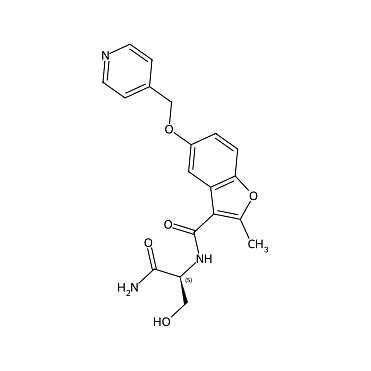 Cc1oc2ccc(OCc3ccncc3)cc2c1C(=O)N[C@@H](CO)C(N)=O